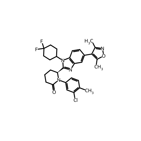 Cc1ccc(N2C(=O)CCC[C@H]2c2nc3cc(-c4c(C)noc4C)ccc3n2C2CCC(F)(F)CC2)cc1Cl